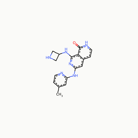 Cc1ccnc(Nc2cc3cc[nH]c(=O)c3c(NC3CNC3)n2)c1